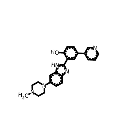 CN1CCN(c2ccc3nc(-c4cc(-c5cccnc5)ccc4O)[nH]c3c2)CC1